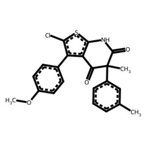 COc1ccc(-c2c(Cl)sc3c2C(=O)C(C)(c2cccc(C)c2)C(=O)N3)cc1